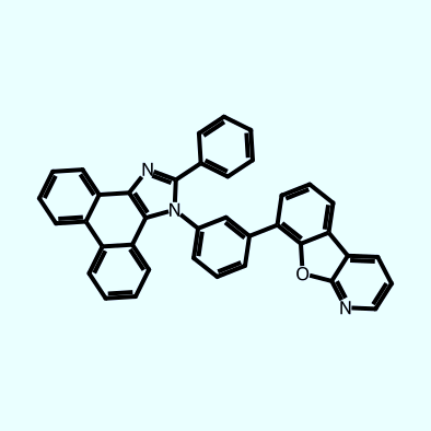 c1ccc(-c2nc3c4ccccc4c4ccccc4c3n2-c2cccc(-c3cccc4c3oc3ncccc34)c2)cc1